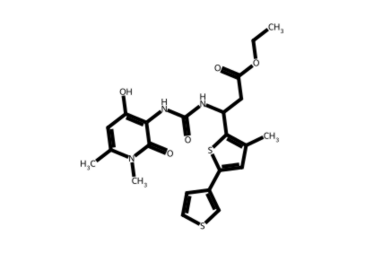 CCOC(=O)CC(NC(=O)Nc1c(O)cc(C)n(C)c1=O)c1sc(-c2ccsc2)cc1C